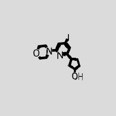 OC1CCC(c2cc(I)cc(N3CCOCC3)n2)C1